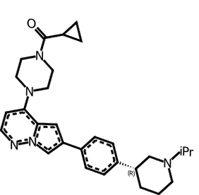 CC(C)N1CCC[C@H](c2ccc(-c3cc4c(N5CCN(C(=O)C6CC6)CC5)ccnn4c3)cc2)C1